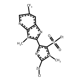 CCS(=O)(=O)c1c(-c2nc3cc(C(F)(F)F)cnc3n2C)n[c]([Zn][Cl])n1C